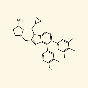 Cc1cc(-c2ncc3c(cc(CN4CC[C@H](N)C4)n3CC3CC3)c2-c2ccc(C#N)c(F)c2)cc(C)c1C